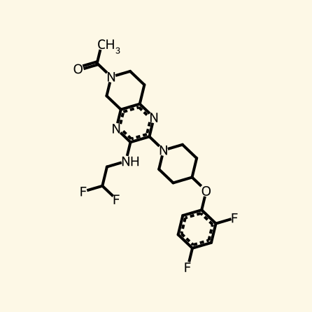 CC(=O)N1CCc2nc(N3CCC(Oc4ccc(F)cc4F)CC3)c(NCC(F)F)nc2C1